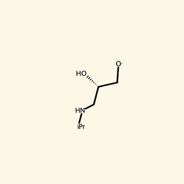 CC(C)NC[C@H](O)C[O]